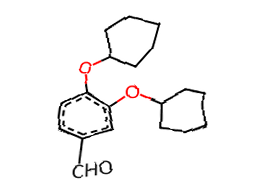 O=Cc1ccc(OC2CCCCC2)c(OC2CCCCC2)c1